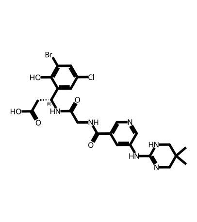 CC1(C)CN=C(Nc2cncc(C(=O)NCC(=O)N[C@H](CC(=O)O)c3cc(Cl)cc(Br)c3O)c2)NC1